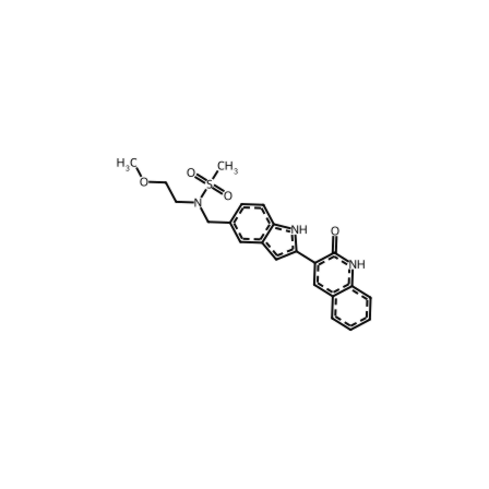 COCCN(Cc1ccc2[nH]c(-c3cc4ccccc4[nH]c3=O)cc2c1)S(C)(=O)=O